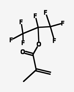 C=C(C)C(=O)OC(F)(C(F)(F)F)C(F)(F)F